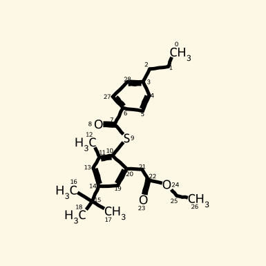 CCCc1ccc(C(=O)Sc2c(C)cc(C(C)(C)C)cc2CC(=O)OCC)cc1